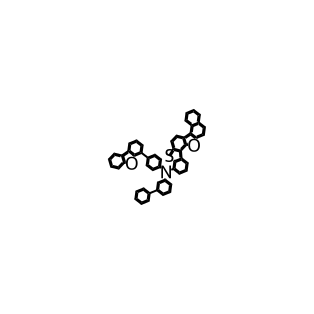 c1ccc(-c2cccc(N(c3ccc(-c4cccc5c4oc4ccccc45)cc3)c3cccc4c3sc3ccc5c(oc6ccc7ccccc7c65)c34)c2)cc1